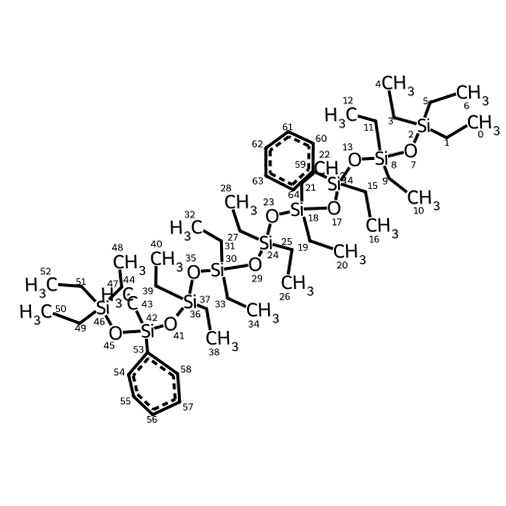 CC[Si](CC)(CC)O[Si](CC)(CC)O[Si](CC)(O[Si](CC)(CC)O[Si](CC)(CC)O[Si](CC)(CC)O[Si](CC)(CC)O[Si](CC)(O[Si](CC)(CC)CC)c1ccccc1)c1ccccc1